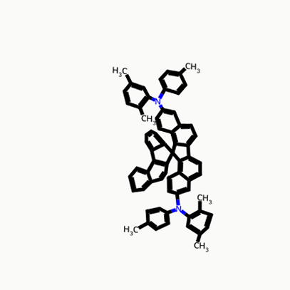 Cc1ccc(N(c2ccc3c4c(ccc3c2)-c2ccc3cc(N(c5ccc(C)cc5)c5cc(C)ccc5C)ccc3c2C42c3ccccc3-c3c2ccc2ccccc32)c2cc(C)ccc2C)cc1